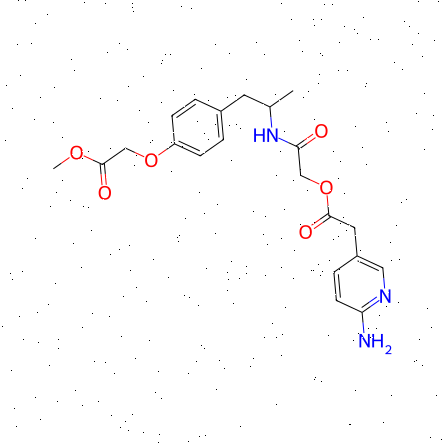 COC(=O)COc1ccc(CC(C)NC(=O)COC(=O)Cc2ccc(N)nc2)cc1